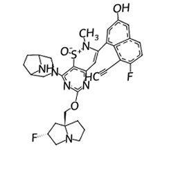 C#Cc1c(F)ccc2cc(O)cc(C3=Cc4nc(OC[C@@]56CCCN5C[C@H](F)C6)nc(N5CC6CCC(C5)N6)c4[S+]([O-])N3C)c12